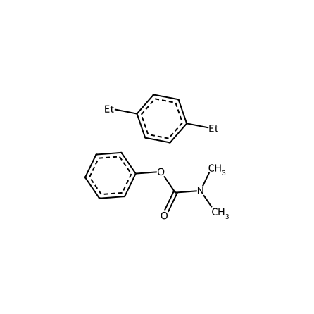 CCc1ccc(CC)cc1.CN(C)C(=O)Oc1ccccc1